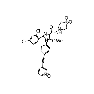 COc1c(C(=O)NN2CCS(=O)(=O)CC2)nc(-c2ccc(Cl)cc2Cl)n1-c1ccc(C#Cc2ccc[n+]([O-])c2)cc1